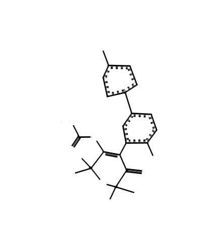 CCCCC(=O)OC1=C(c2cc(-c3ccc(Cl)cc3)ccc2CC)C(=O)C(C)(C)OC1(C)C